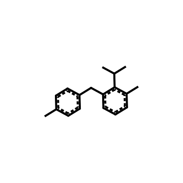 Cc1ccc(Cc2cccc(C)c2C(C)C)cc1